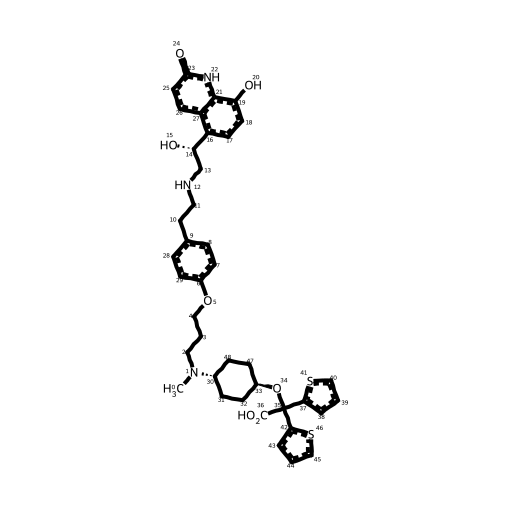 CN(CCCOc1ccc(CCNC[C@H](O)c2ccc(O)c3[nH]c(=O)ccc23)cc1)[C@H]1CC[C@H](OC(C(=O)O)(c2cccs2)c2cccs2)CC1